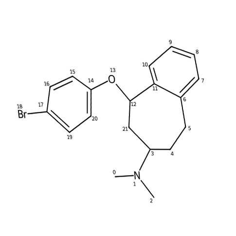 CN(C)C1CCc2ccccc2C(Oc2ccc(Br)cc2)C1